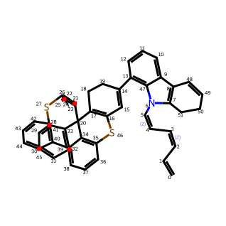 C=C/C=C\C=C/n1c2c(c3cccc(C4=CC5=C(CC4)C4(c6ccccc6Sc6ccccc64)c4c(cccc4-c4ccccc4)S5)c31)C=CCC2